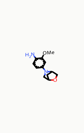 COc1cc(N2CC3CC2CO3)ccc1N